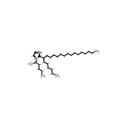 CCCCCCCCCCCCCCCC(CCCCCC)c1[nH]cc[n+]1C(C)CCCC